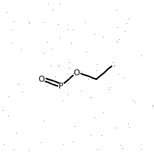 [CH2]COP=O